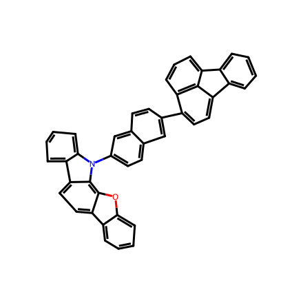 c1ccc2c(c1)-c1cccc3c(-c4ccc5cc(-n6c7ccccc7c7ccc8c9ccccc9oc8c76)ccc5c4)ccc-2c13